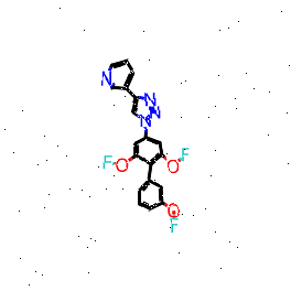 FOc1cccc(-c2c(OF)cc(-n3cc(-c4cccnc4)nn3)cc2OF)c1